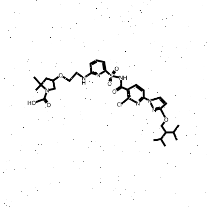 CC(C)C(COc1ccn(-c2ccc(C(=O)NS(=O)(=O)c3cccc(NCCOC4CN(C(=O)O)C(C)(C)C4)n3)c(Cl)n2)n1)C(C)C